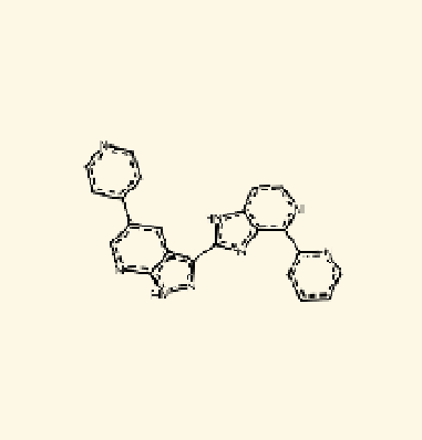 c1ccc(-c2nccc3[nH]c(-c4n[nH]c5ncc(-c6ccncc6)cc45)nc23)nc1